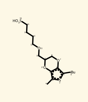 CCC(C)c1sc(C)c2c1OCC(COCCCCS(=O)(=O)O)O2